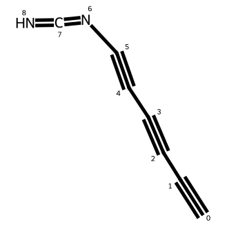 C#CC#CC#CN=C=N